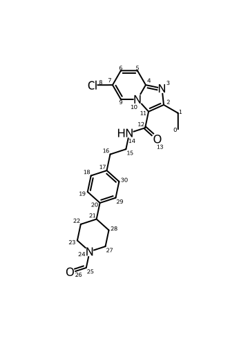 CCc1nc2ccc(Cl)cn2c1C(=O)NCCc1ccc(C2CCN(C=O)CC2)cc1